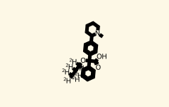 [2H]C([2H])([2H])C([2H])([2H])C([2H])([2H])OC(C(=O)O)(c1ccccc1)c1ccc(C2CCCCN2C)cc1